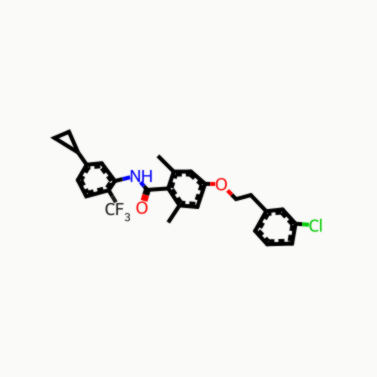 Cc1cc(OCCc2cccc(Cl)c2)cc(C)c1C(=O)Nc1cc(C2CC2)ccc1C(F)(F)F